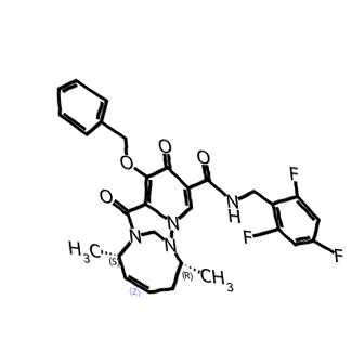 C[C@@H]1C/C=C\[C@H](C)N2CN1n1cc(C(=O)NCc3c(F)cc(F)cc3F)c(=O)c(OCc3ccccc3)c1C2=O